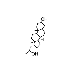 C[C@H](O)C[C@H]1CCC2[C@@H]3CCC4CC(O)CCC4(C)C3CCC21C